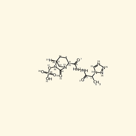 CC(C(=O)NNC(=O)[C@@H]1CC[C@@H]2CN1C(=O)N2OS(=O)(=O)O)n1cnnn1